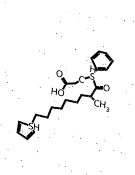 CC(CCCCCCC[SH]1C=CC=C1)C(=O)[SH](CCC(=O)O)c1ccccc1